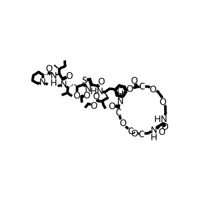 CCOC(=O)C(C)C[C@H](Cc1ccc2c(c1)NC(=O)CCOCCOCCNC(=O)C(=O)NCCOCCOCCC(=O)O2)NC(=O)c1csc([C@@H](C[C@H](C(C)C)N(C)C(=O)[C@@H](NC(=O)[C@H]2CCCCN2C)[C@@H](C)CC)OC(C)=O)n1